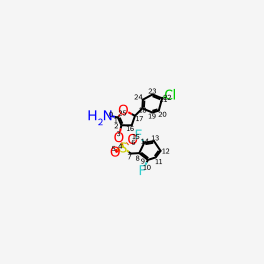 NC1=C(OS(=O)(=O)Cc2c(F)cccc2F)CC(c2ccc(Cl)cc2)O1